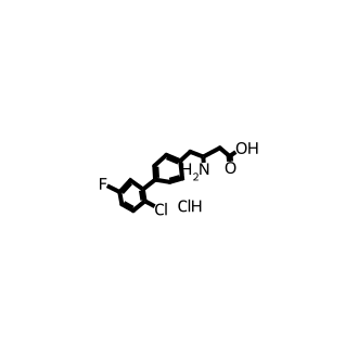 Cl.NC(CC(=O)O)Cc1ccc(-c2cc(F)ccc2Cl)cc1